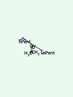 CCCCC/C=C\C/C=C\C=C\CCCCCCC(C/C=C/CCCCC/C=C\C/C=C\CCCCC)OC(=O)CCCN(C)C